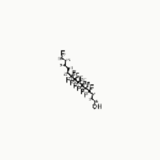 OCCCC(F)(F)C(F)(F)C(F)(F)C(F)(F)C(F)(F)C(F)(F)CCCCCF